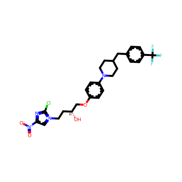 O=[N+]([O-])c1cn(CC[C@@H](O)COc2ccc(N3CCC(Cc4ccc(C(F)(F)F)cc4)CC3)cc2)c(Cl)n1